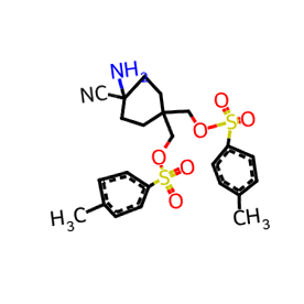 Cc1ccc(S(=O)(=O)OCC2(COS(=O)(=O)c3ccc(C)cc3)CCC(N)(C#N)CC2)cc1